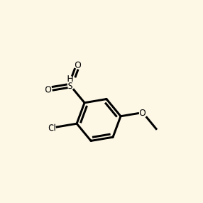 COc1ccc(Cl)c([SH](=O)=O)c1